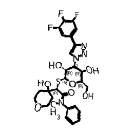 CN(C(=O)[C@H](S[C@@H]1O[C@H](CO)[C@H](O)[C@H](n2cc(-c3cc(F)c(F)c(F)c3)nn2)[C@H]1O)C1(O)CCOCC1)c1ccccc1